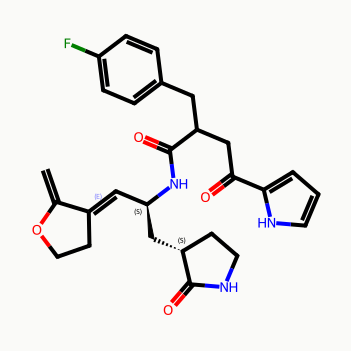 C=C1OCC/C1=C\[C@H](C[C@@H]1CCNC1=O)NC(=O)C(CC(=O)c1ccc[nH]1)Cc1ccc(F)cc1